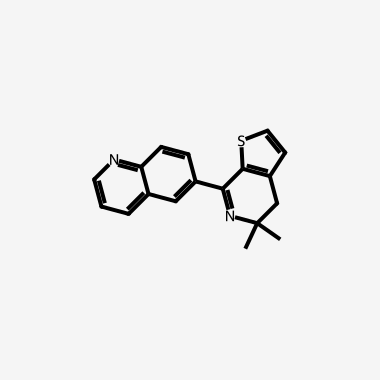 CC1(C)Cc2ccsc2C(c2ccc3ncccc3c2)=N1